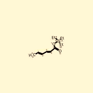 C/C=C/C=C/C(=O)O[Si](CC)(CC)CC